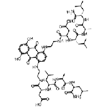 CC(C)C[C@H](NC(=O)[C@H](C)NC(=O)[C@H](CC(C)C)NC(CC(=O)O)C(=O)NCCNc1ccc(NCCNC(=O)C(CC(=O)O)N[C@@H](CC(C)C)C(=O)N[C@@H](C)C(=O)N[C@@H](CC(C)C)C(N)=O)c2c1C(=O)c1c(O)ccc(O)c1C2=O)C(N)=O